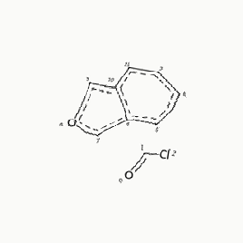 O=CCl.c1ccc2cocc2c1